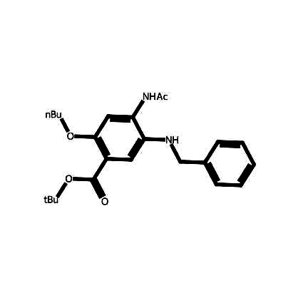 CCCCOc1cc(NC(C)=O)c(NCc2ccccc2)cc1C(=O)OC(C)(C)C